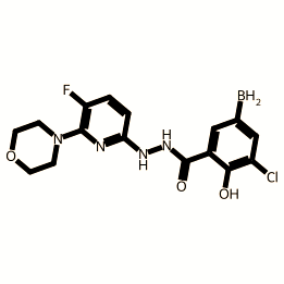 Bc1cc(Cl)c(O)c(C(=O)NNc2ccc(F)c(N3CCOCC3)n2)c1